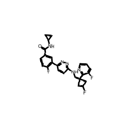 O=C(NC1CC1)c1ccc(F)c(-c2ccc(NCC3(c4ncccc4F)CC(F)C3)nn2)c1